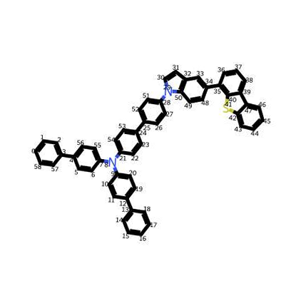 c1ccc(-c2ccc(N(c3ccc(-c4ccccc4)cc3)c3ccc(-c4ccc(-n5ccc6cc(-c7cccc8c7sc7ccccc78)ccc65)cc4)cc3)cc2)cc1